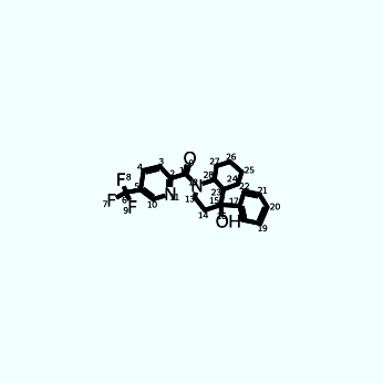 O=C(c1ccc(C(F)(F)F)cn1)N1CCC(O)(c2ccccc2)C2CCCCC21